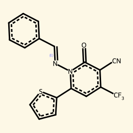 N#Cc1c(C(F)(F)F)cc(-c2cccs2)n(/N=C/c2ccccc2)c1=O